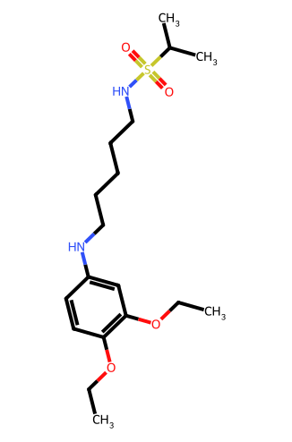 CCOc1ccc(NCCCCCNS(=O)(=O)C(C)C)cc1OCC